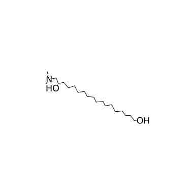 CN(C)CC(O)CCCCCCCCCCCCCCCCO